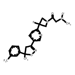 C[S+]([O-])CC(=O)N1CC(F)(c2ccc(C3=NOC(c4cccc(C(F)(F)F)c4)(C(F)(F)F)C3)cn2)C1